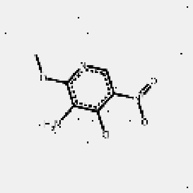 COc1ncc([N+](=O)[O-])c(Cl)c1N